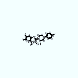 COc1nc(C)c(C)cc1N=C(NO)N1CCN(c2ccc(C)cc2)CC1